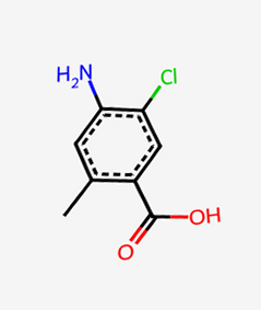 Cc1cc(N)c(Cl)cc1C(=O)O